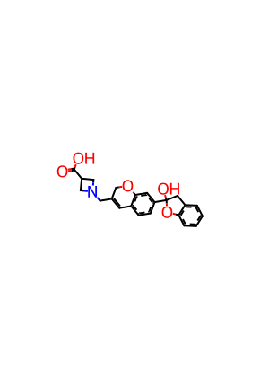 O=C(O)C1CN(CC2=Cc3ccc(C4(O)Cc5ccccc5O4)cc3OC2)C1